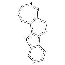 c1ccc2c(c1)nc1c3cccnnc3ccc21